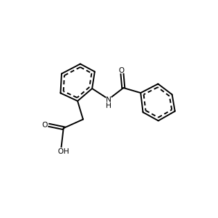 O=C(O)Cc1ccccc1NC(=O)c1ccccc1